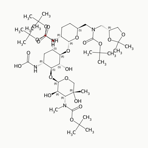 CN(C(=O)OC(C)(C)C)[C@@H]1[C@@H](O)[C@@H](O[C@@H]2[C@@H](O)[C@H](O[C@H]3O[C@H](CN(C[C@@H]4COC(C)(C)O4)C(=O)OC(C)(C)C)CC[C@H]3NC(=O)OC(C)(C)C)[C@@H](NC(=O)OC(C)(C)C)C[C@H]2NC(=O)O)OC[C@]1(C)O